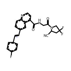 N#CC1CC(F)(F)CN1C(=O)CNC(=O)c1ccnc2ccc(/C=C/c3ccc(F)cc3)cc12